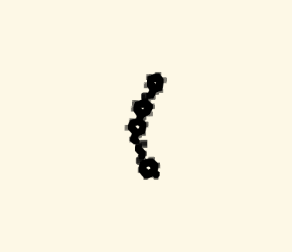 Cc1ccc(OCCNCC2CCC(c3ccc(OCc4ccccc4)cc3)CC2)cc1